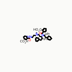 CCCC(Cc1ccccc1)C(CCN(C)CCCNC(=O)c1ccccc1C(=O)O)N(C(=O)c1ccccc1C(=O)O)C(CCC)Cc1ccccc1